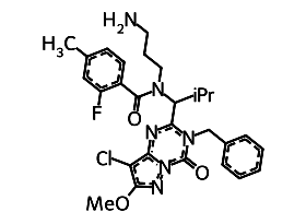 COc1nn2c(=O)n(Cc3ccccc3)c(C(C(C)C)N(CCCN)C(=O)c3ccc(C)cc3F)nc2c1Cl